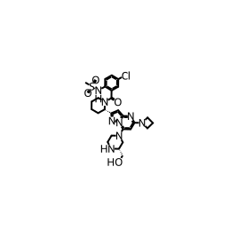 CS(=O)(=O)Nc1ccc(Cl)cc1C(=O)N1CCCC[C@H]1c1cc2nc(N3CCC3)cc(N3CCN[C@@H](CO)C3)n2n1